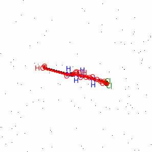 O=C(O)CCCCCCCCCCCCCCCCCCC(=O)NCC1CCC(C(=O)NC(CCC(=O)NCCOCCOCC(=O)NCCOCCOCC(=O)Oc2ccc(Cl)cc2Cl)C(=O)O)CC1